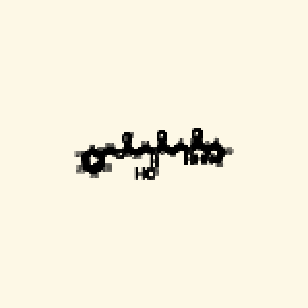 Cl.O=C(CCNC(=O)C1CCCN1)NCCC(=O)OCc1ccccc1